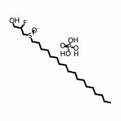 CCCCCCCCCCCCCCCCCC[S+]([O-])CC(F)CO.O=P(O)(O)O